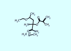 C=C(C)C(=O)OC(N)(CC(C)OCC)C(N)=O.CNC